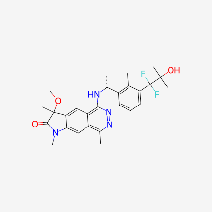 COC1(C)C(=O)N(C)c2cc3c(C)nnc(N[C@H](C)c4cccc(C(F)(F)C(C)(C)O)c4C)c3cc21